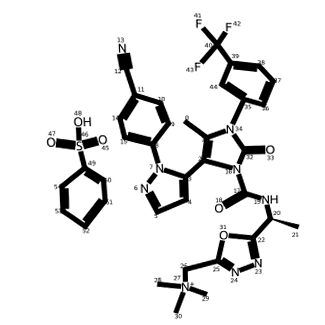 Cc1c(-c2ccnn2-c2ccc(C#N)cc2)n(C(=O)N[C@@H](C)c2nnc(C[N+](C)(C)C)o2)c(=O)n1-c1cccc(C(F)(F)F)c1.O=S(=O)(O)c1ccccc1